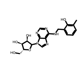 Cc1cccc(CNc2ncnc3c2ncn3C2O[C@H](CO)[C@@H](O)[C@H]2O)c1O